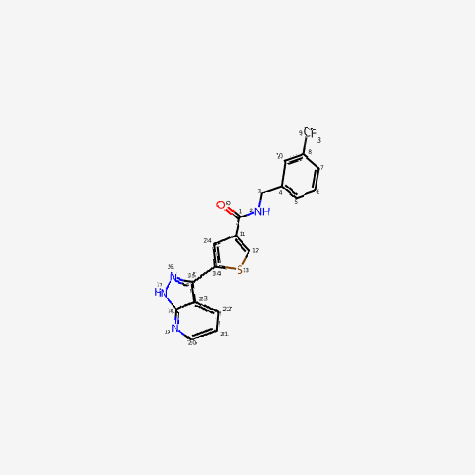 O=C(NCc1cccc(C(F)(F)F)c1)c1csc(-c2n[nH]c3ncccc23)c1